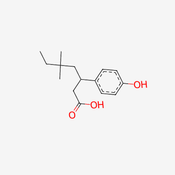 CCC(C)(C)CC(CC(=O)O)c1ccc(O)cc1